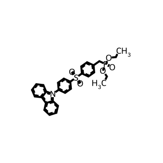 CCOP(=O)(Cc1ccc(S(=O)(=O)c2ccc(-n3c4ccccc4c4ccccc43)cc2)cc1)OCC